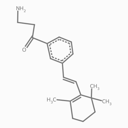 CC1=C(/C=C/c2cccc(C(=O)CCN)c2)C(C)(C)CCC1